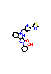 O=c1c2nn(Cc3ccc(-c4cscn4)nc3)c3ccccc3c-2nn1C1CCCCC1O